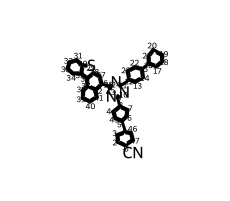 N#Cc1ccc(-c2ccc(-c3nc(-c4ccc(-c5ccccc5)cc4)nc(-c4cc5sc6ccccc6c5c5ccccc45)n3)cc2)cc1